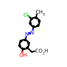 Cc1ccc(N=Nc2ccc(O)c(CC(=O)O)c2)cc1Cl